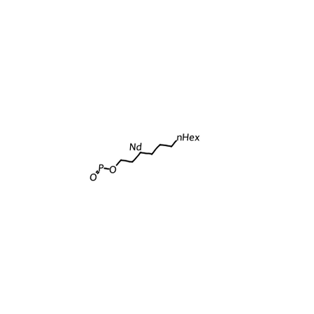 CCCCCCCCCCCCOP=O.[Nd]